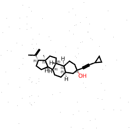 C=C(C)[C@H]1CC[C@H]2[C@@H]3CC[C@@H]4C[C@](O)(C#CC5CC5)CC[C@@H]4[C@H]3CC[C@]12C